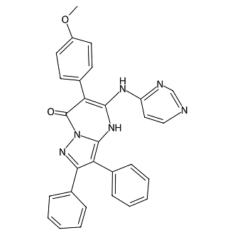 COc1ccc(-c2c(Nc3ccncn3)[nH]c3c(-c4ccccc4)c(-c4ccccc4)nn3c2=O)cc1